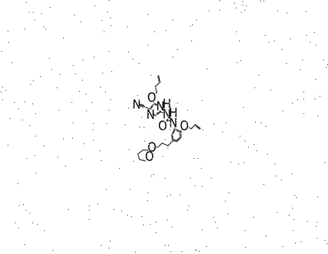 C=CCCOc1nc(NC(=O)Nc2cc(CCCOC3CCCCO3)ccc2OCC=C)cnc1C#N